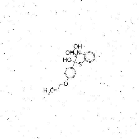 C=CCOc1ccc(C(O)(CC(=O)O)Sc2ccccc2N)cc1